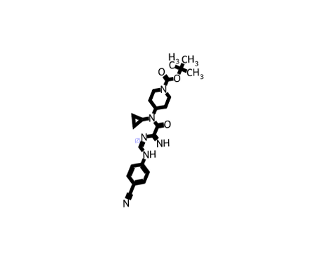 CC(C)(C)OC(=O)N1CCC(N(C(=O)C(=N)/N=C\Nc2ccc(C#N)cc2)C2CC2)CC1